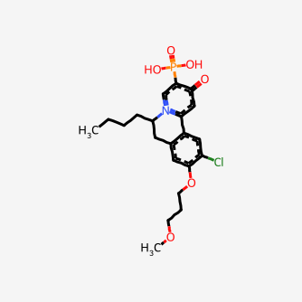 CCCCC1Cc2cc(OCCCOC)c(Cl)cc2-c2cc(=O)c(P(=O)(O)O)cn21